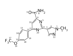 Cn1cc(-c2nc(C(N)=O)cc(-c3ccc(OC(F)(F)F)cc3)n2)cn1